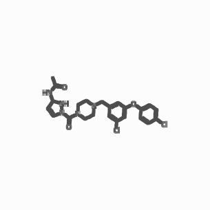 CC(=O)NC1C=CN(C(=O)N2CCN(Cc3cc(Cl)cc(Oc4ccc(Cl)cc4)c3)CC2)N1